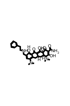 CN(C)c1cc(CNCCc2ccccc2)c(O)c2c1C[C@H]1C[C@H]3C(N(C)C)C(O)=C(C(N)=O)C(=O)[C@@]3(O)C(O)=C1C2=O